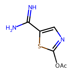 CC(=O)Oc1ncc(C(=N)N)s1